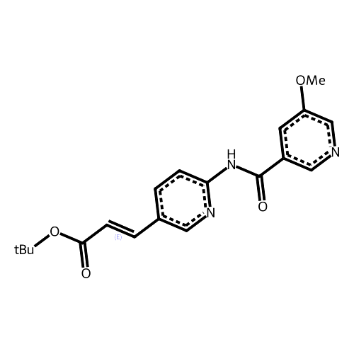 COc1cncc(C(=O)Nc2ccc(/C=C/C(=O)OC(C)(C)C)cn2)c1